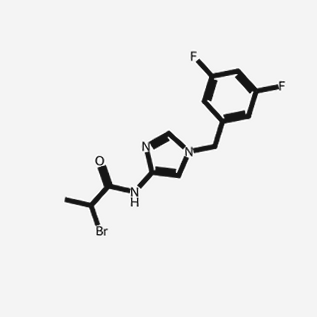 CC(Br)C(=O)Nc1cn(Cc2cc(F)cc(F)c2)cn1